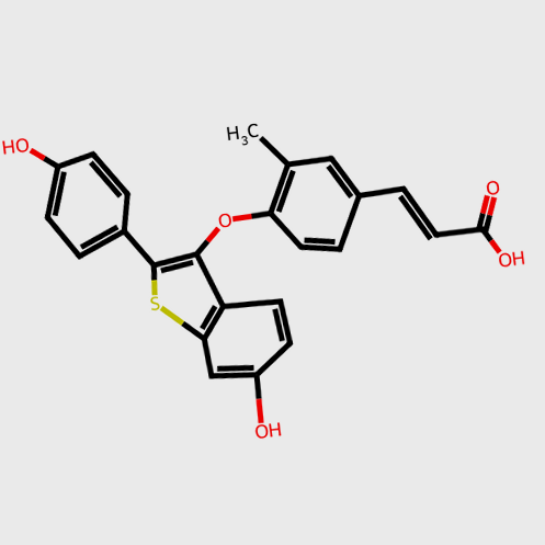 Cc1cc(/C=C/C(=O)O)ccc1Oc1c(-c2ccc(O)cc2)sc2cc(O)ccc12